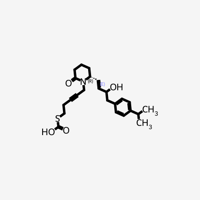 CC(C)c1ccc(CC(O)/C=C/[C@H]2CCCC(=O)N2CC#CCCSC(=O)O)cc1